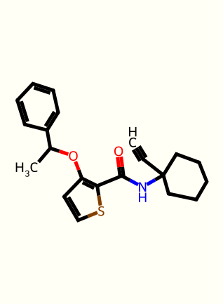 C#CC1(NC(=O)c2sccc2OC(C)c2ccccc2)CCCCC1